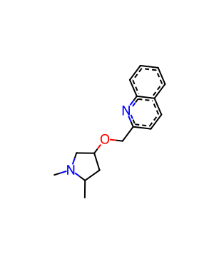 CC1CC(OCc2ccc3ccccc3n2)CN1C